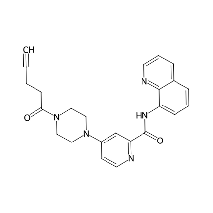 C#CCCC(=O)N1CCN(c2ccnc(C(=O)Nc3cccc4cccnc34)c2)CC1